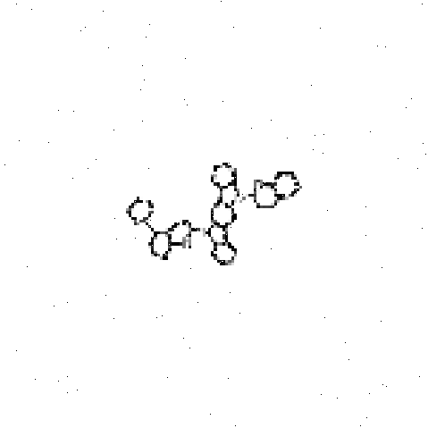 c1ccc(-c2cccc3nc(-n4c5ccccc5c5cc6c(cc54)c4ccccc4n6-c4ccc5ccccc5n4)ccc23)cc1